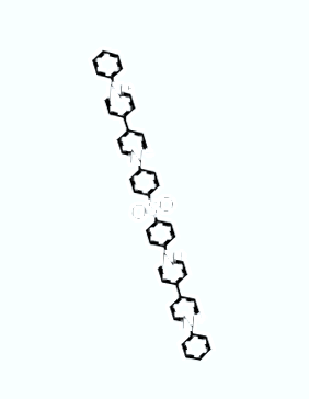 O=S(=O)(c1ccc(-[n+]2ccc(-c3cc[n+](-c4ccccc4)cc3)cc2)cc1)c1ccc(-[n+]2ccc(-c3cc[n+](-c4ccccc4)cc3)cc2)cc1